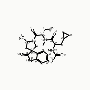 CC(C)C[C@@H](C(=O)N1C[C@]2(C[C@H]1C#N)C(=O)Nc1ccccc12)N(C)C(=O)C(CC1CC1)NC(=O)C(F)(F)F